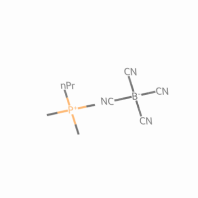 CCC[P+](C)(C)C.N#C[B-](C#N)(C#N)C#N